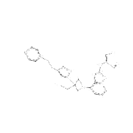 N#CCC1(n2cc(CCc3ccccc3)cn2)CN(c2cccn3nc(N/C(C=N)=C/N)nc23)C1